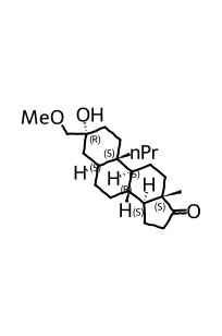 CCC[C@]12CC[C@](O)(COC)C[C@@H]1CC[C@@H]1[C@@H]2CC[C@]2(C)C(=O)CC[C@@H]12